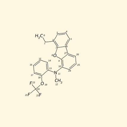 CCc1cccc2c1oc1c(N(C)c3ccccc3OC(F)(F)F)cccc12